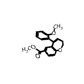 COC(=O)c1ccc2c(c1)C(c1ccccc1OC)=CCCO2